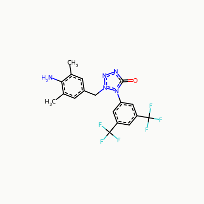 Cc1cc(Cn2nnc(=O)n2-c2cc(C(F)(F)F)cc(C(F)(F)F)c2)cc(C)c1N